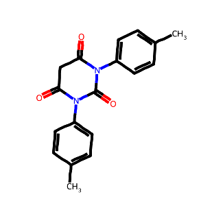 Cc1ccc(N2C(=O)CC(=O)N(c3ccc(C)cc3)C2=O)cc1